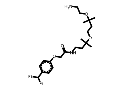 CCC(CC)c1ccc(OCC(=O)NCCC(C)(C)OCCC(C)(C)OCCN)cc1